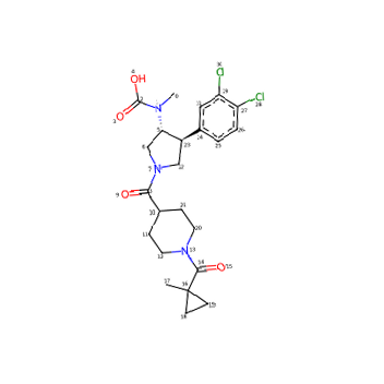 CN(C(=O)O)[C@H]1CN(C(=O)C2CCN(C(=O)C3(C)CC3)CC2)C[C@@H]1c1ccc(Cl)c(Cl)c1